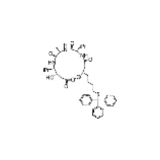 CC(C)[C@H]1NC(=O)[C@@H](C)NC(=O)[C@@H](C(C)C)NC(=O)C[C@@H](/C=C/CCSC(c2ccccc2)(c2ccccc2)c2ccccc2)OOC(=O)C[C@@H]1O